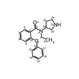 CCN(C(=O)c1ccccc1Oc1ccccc1)C1CCNC1